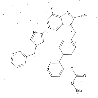 CCCc1nc2c(C)cc(-c3cn(Cc4ccccc4)cn3)cc2n1Cc1ccc(-c2ccccc2OC(=O)OC(C)(C)C)cc1